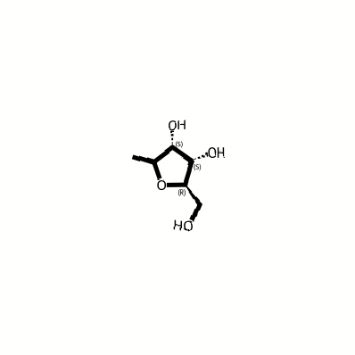 C[C]1O[C@H](CO)[C@@H](O)[C@H]1O